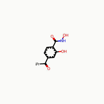 CC(C)C(=O)c1ccc(C(=O)NO)c(O)c1